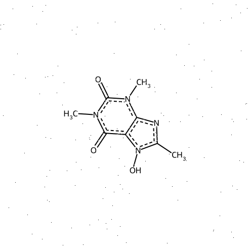 Cc1nc2c(c(=O)n(C)c(=O)n2C)n1O